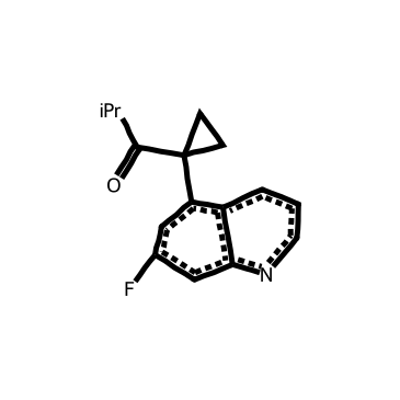 CC(C)C(=O)C1(c2cc(F)cc3ncccc23)CC1